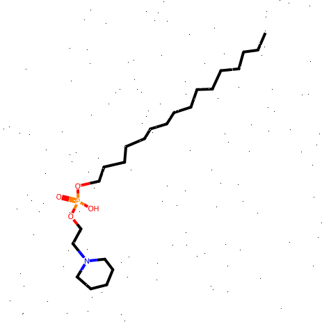 CCCCCCCCCCCCCCCCOP(=O)(O)OCCN1CCCCC1